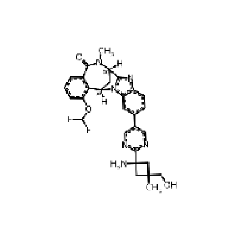 CN1C(=O)c2cccc(OC(F)F)c2[C@@H]2C[C@H]1c1nc3ccc(-c4cnc(C5(N)CC(C)(CO)C5)nc4)cc3n12